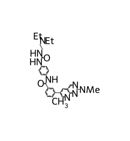 CCN(CC)CCNC(=O)Nc1ccc(NC(=O)c2ccc(C)c(-c3cnc4nc(NC)ncc4c3)c2)cc1